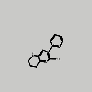 Nc1nc2c(cc1-c1ccccc1)NCCC2